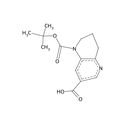 CC(C)(C)OC(=O)N1CCCc2ncc(C(=O)O)cc21